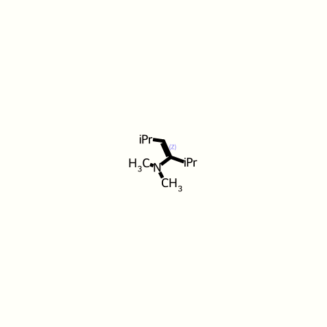 CC(C)/C=C(/C(C)C)N(C)C